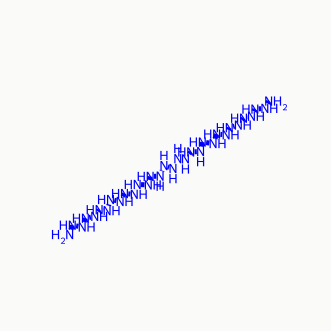 NNNNNNNNNNNNNNNNNNNNNNNNNNNNNNNN